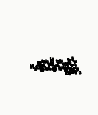 CCn1c(C(O)(c2ccccc2)C(F)(F)F)nc2ccc(C(=O)Nc3ccc(S(C)(=O)=O)cc3)cc21